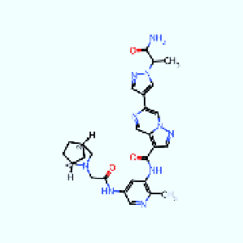 Cc1ncc(NC(=O)CN2C[C@H]3CC[C@@H]2C3)cc1NC(=O)c1cnn2cc(-c3cnn(C(C)C(N)=O)c3)ncc12